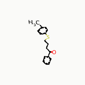 Cc1ccc(SCCCC(=O)c2ccccc2)cc1